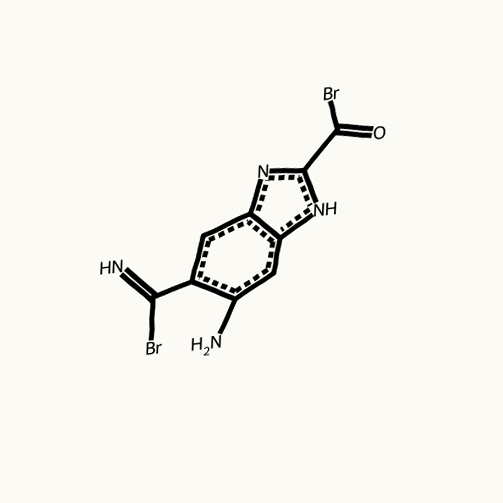 N=C(Br)c1cc2nc(C(=O)Br)[nH]c2cc1N